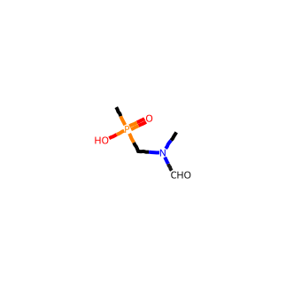 CN(C=O)CP(C)(=O)O